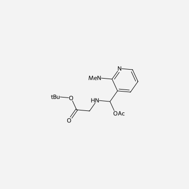 CNc1ncccc1C(NCC(=O)OC(C)(C)C)OC(C)=O